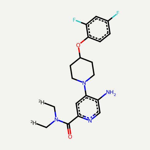 [2H]CN(C[2H])C(=O)c1cc(N2CCC(Oc3ccc(F)cc3F)CC2)c(N)cn1